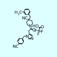 Cc1cccc(CC2(C#N)CCN(C(=O)Cc3cncn3Cc3ccc(C#N)cc3)CC2)c1.O=C(O)C(F)(F)F